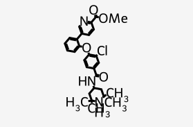 COC(=O)c1ccc(-c2ccccc2Oc2ccc(C(=O)NC3CC(C)(C)NC(C)(C)C3)cc2Cl)cn1